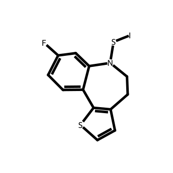 Fc1ccc2c(c1)N(SI)CCc1ccsc1-2